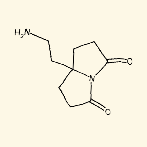 NCCC12CCC(=O)N1C(=O)CC2